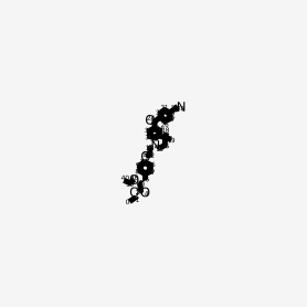 CCOC(=O)[C@H](Cc1ccc(OCCN2CCC(C)(C)c3cc(C(=O)c4ccc(C#N)cc4)ccc32)cc1)OCC